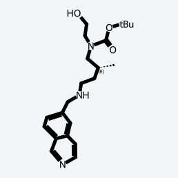 C[C@H](CCNCc1ccc2cnccc2c1)CN(CCO)C(=O)OC(C)(C)C